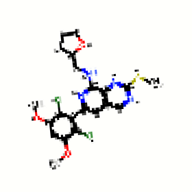 COc1cc(OC)c(Cl)c(-c2cc3cnc(SC)nc3c(NCC3CCCO3)n2)c1Cl